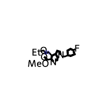 CCO/C=C/c1c(C(=O)OC)ncc2c1ccn2Cc1ccc(F)cc1